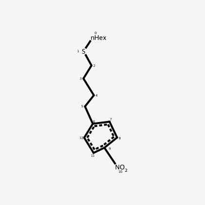 CCCCCCSCCCCc1ccc([N+](=O)[O-])cc1